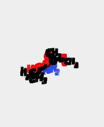 COC(=O)CCc1ccc(OC(N)C(O)CC(C)C)c(OC)c1